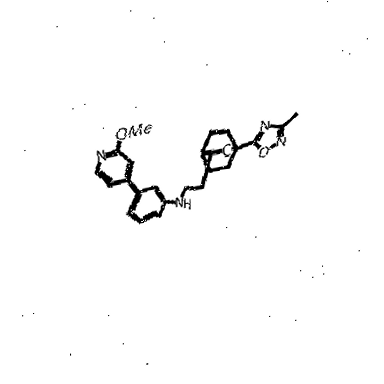 COc1cc(-c2cccc(NCCC3CC4(c5nc(C)no5)CCC3CC4)c2)ccn1